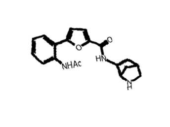 CC(=O)Nc1ccccc1-c1ccc(C(=O)NC2CC3CNC2C3)o1